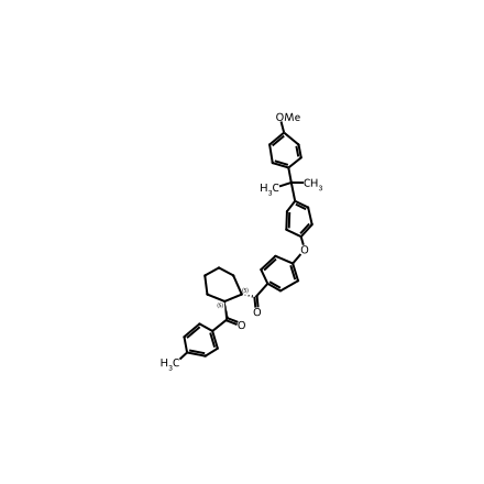 COc1ccc(C(C)(C)c2ccc(Oc3ccc(C(=O)[C@H]4CCCC[C@@H]4C(=O)c4ccc(C)cc4)cc3)cc2)cc1